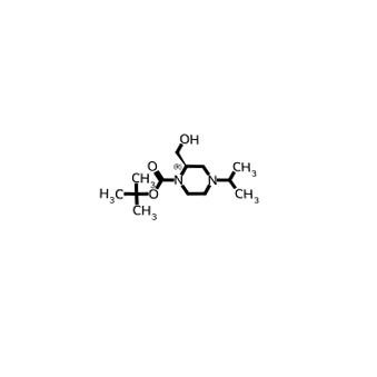 CC(C)N1CCN(C(=O)OC(C)(C)C)[C@@H](CO)C1